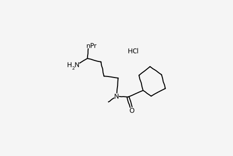 CCCC(N)CCCN(C)C(=O)C1CCCCC1.Cl